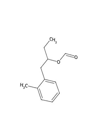 CCC(Cc1ccccc1C)OC=O